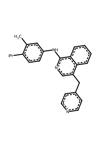 Cc1cc(Nc2ncc(Cc3ccncc3)c3ccccc23)ccc1C(C)C